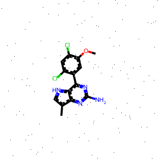 COc1cc(-c2nc(N)nc3c(C)c[nH]c23)c(Cl)cc1Cl